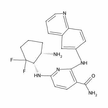 NC(=O)c1ccc(N[C@H]2[C@@H](N)CCCC2(F)F)nc1Nc1ccc2ncccc2c1